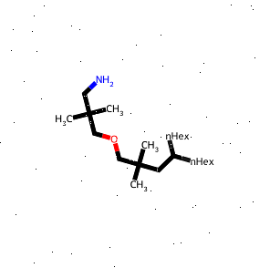 CCCCCCC(CCCCCC)CC(C)(C)COCC(C)(C)CN